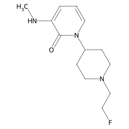 CNc1cccn(C2CCN(CCF)CC2)c1=O